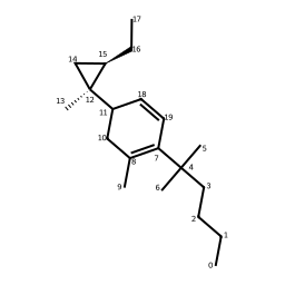 CCCCC(C)(C)C1=C(C)CC([C@@]2(C)C[C@H]2CC)C=C1